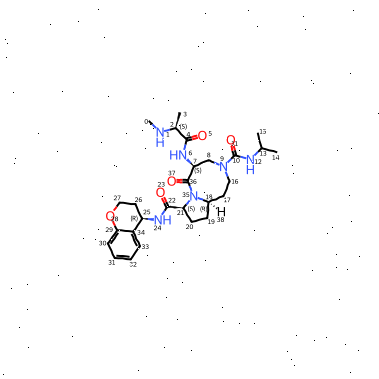 CN[C@@H](C)C(=O)N[C@H]1CN(C(=O)NC(C)C)CC[C@H]2CC[C@@H](C(=O)N[C@@H]3CCOc4ccccc43)N2C1=O